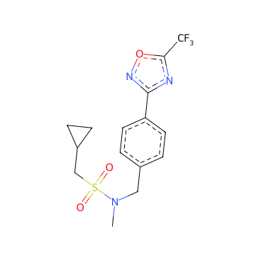 CN(Cc1ccc(-c2noc(C(F)(F)F)n2)cc1)S(=O)(=O)CC1CC1